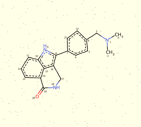 CN(C)Cc1ccc(-c2[nH]c3cccc4c3c2CNC4=O)cc1